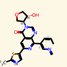 C=N/C=C(\C=C/C)c1nc(-c2cnc(C(F)(F)F)s2)cc2c(=O)n([C@H]3COC[C@@H]3O)cnc12